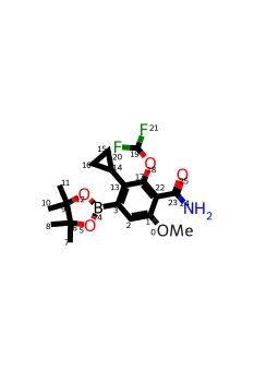 COc1cc(B2OC(C)(C)C(C)(C)O2)c(C2CC2)c(OC(F)F)c1C(N)=O